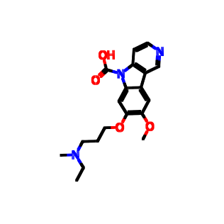 CCN(C)CCCOc1cc2c(cc1OC)c1cnccc1n2C(=O)O